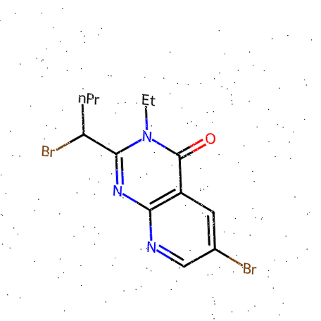 CCCC(Br)c1nc2ncc(Br)cc2c(=O)n1CC